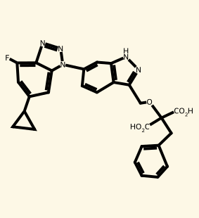 O=C(O)C(Cc1ccccc1)(OCc1n[nH]c2cc(-n3nnc4c(F)cc(C5CC5)cc43)ccc12)C(=O)O